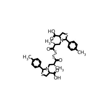 Cc1ccc(C2SCC(C(=O)O)N2C[C@H](C)C(=O)SSC(=O)[C@@H](C)CN2C(C(=O)O)CSC2c2ccc(C)cc2)cc1